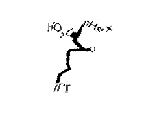 CCCCCCC(C(=O)O)C(=O)CCCC(C)C